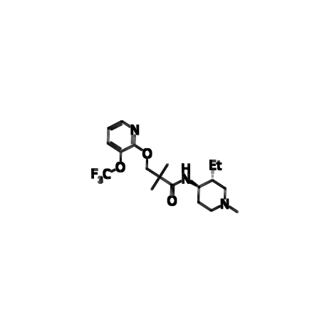 CC[C@@H]1CN(C)CC[C@H]1NC(=O)C(C)(C)COc1ncccc1OC(F)(F)F